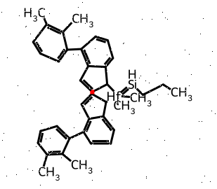 CCC[SiH]=[Hf]([CH3])([CH3])([CH]1C=Cc2c(-c3cccc(C)c3C)cccc21)[CH]1C=Cc2c(-c3cccc(C)c3C)cccc21